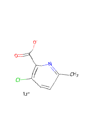 Cc1ccc(Cl)c(C(=O)[O-])n1.[Li+]